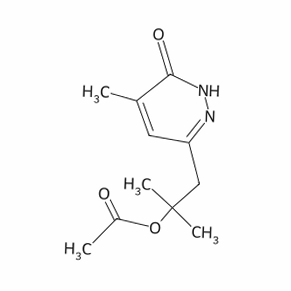 CC(=O)OC(C)(C)Cc1cc(C)c(=O)[nH]n1